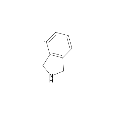 [c]1cccc2c1CNC2